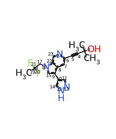 CC(C)(O)C#Cc1cc2c(-c3cn[nH]c3)cn(CC(C)(F)F)c2cn1